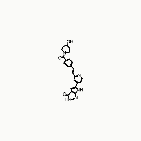 O=C(c1ccc(C=Cc2cc(-c3cc4c(=O)[nH]cnc4[nH]3)ccn2)cc1)N1CCC(O)CC1